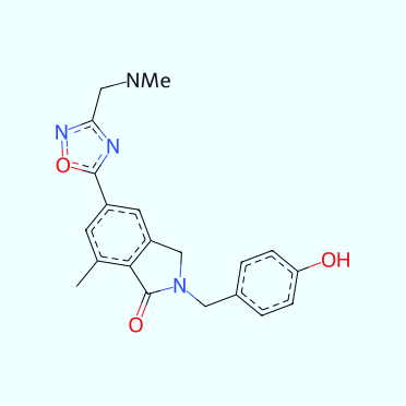 CNCc1noc(-c2cc(C)c3c(c2)CN(Cc2ccc(O)cc2)C3=O)n1